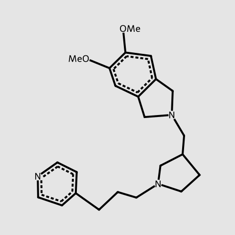 COc1cc2c(cc1OC)CN(CC1CCN(CCCc3ccncc3)C1)C2